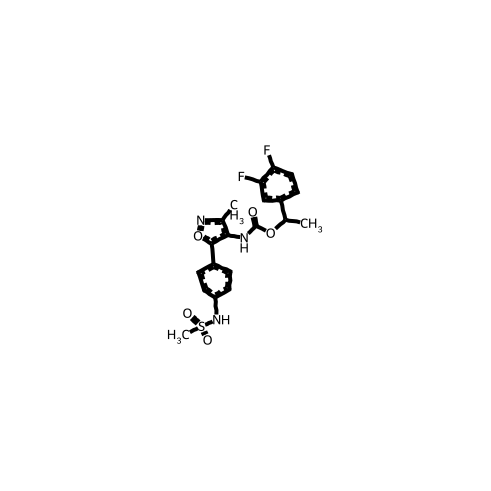 Cc1noc(-c2ccc(NS(C)(=O)=O)cc2)c1NC(=O)OC(C)c1ccc(F)c(F)c1